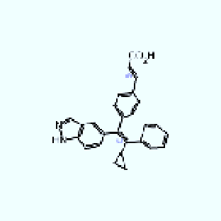 O=C(O)/C=C/c1ccc(/C(=C(\c2ccccc2)C2CC2)c2ccc3[nH]ncc3c2)cc1